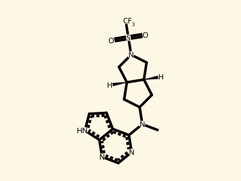 CN(c1ncnc2[nH]ccc12)C1C[C@@H]2CN(S(=O)(=O)C(F)(F)F)C[C@@H]2C1